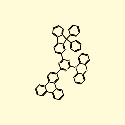 c1ccc(C2(c3ccccc3)c3ccccc3-c3ccc(-c4nc(-c5ccc6c7ccccc7c7ccccc7c6c5)nc(N5c6ccccc6Sc6ccccc65)n4)cc32)cc1